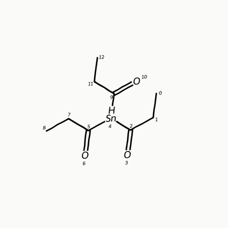 CC[C](=O)[SnH]([C](=O)CC)[C](=O)CC